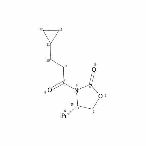 CC(C)[C@H]1COC(=O)N1C(=O)CCC1CC1